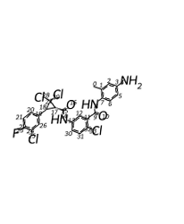 Cc1cc(N)ccc1NC(=O)c1cc(NC(=O)[C@H]2C(c3ccc(F)c(Cl)c3)C2(Cl)Cl)ccc1Cl